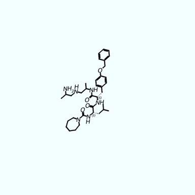 CC(C)C[C@H](NC(=O)N1CCCCCC1)C(=O)N[C@@H](Cc1ccc(OCc2ccccc2)cc1)C(=O)NC(C)CNCC(C)N